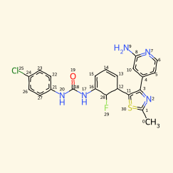 Cc1nc(-c2ccnc(N)c2)c(C2C=CC=C(NC(=O)Nc3ccc(Cl)cc3)C2F)s1